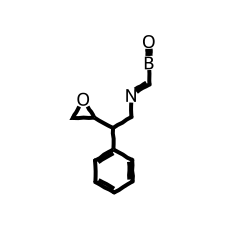 O=BC=NCC(c1ccccc1)C1CO1